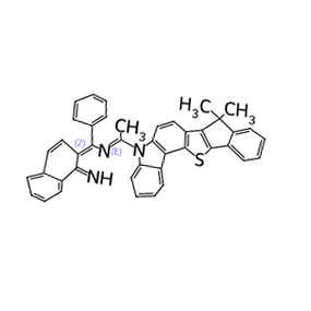 C/C(=N\C(=C1\C=Cc2ccccc2C1=N)c1ccccc1)n1c2ccccc2c2c3sc4c(c3ccc21)C(C)(C)c1ccccc1-4